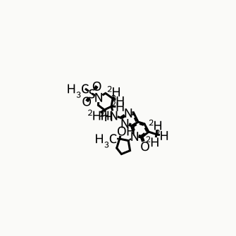 [2H]C([2H])([2H])c1cc2cnc(NC3([2H])C([2H])([2H])CN(S(C)(=O)=O)CC3([2H])[2H])nc2n([C@H]2CCC[C@]2(C)O)c1=O